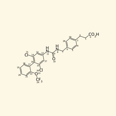 O=C(O)CCc1ccc(CNC(=O)Nc2cc(Cl)c(-c3ccccc3OC(F)(F)F)c(Cl)c2)cc1